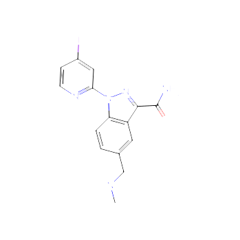 CNCc1ccc2c(c1)c(C(N)=O)nn2-c1cc(I)ccn1